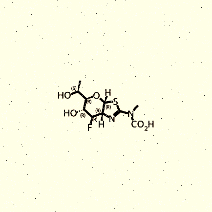 C[C@H](O)[C@H]1O[C@@H]2SC(N(C)C(=O)O)=N[C@@H]2[C@@H](F)[C@@H]1O